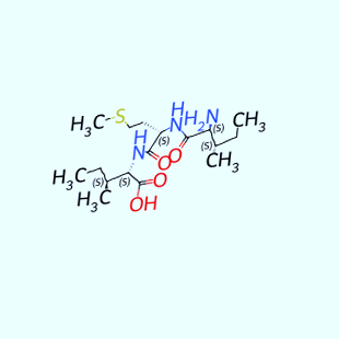 CC[C@H](C)[C@H](N)C(=O)N[C@@H](CCSC)C(=O)N[C@H](C(=O)O)[C@@H](C)CC